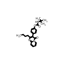 CCCCc1nc2ccccn2c(=O)c1-c1ccc(OC(=O)NC(C)(C)C)cc1